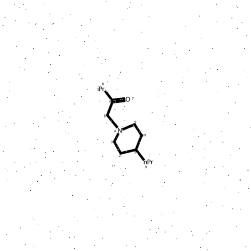 CCCC1CCN(CC(=O)C(C)C)CC1